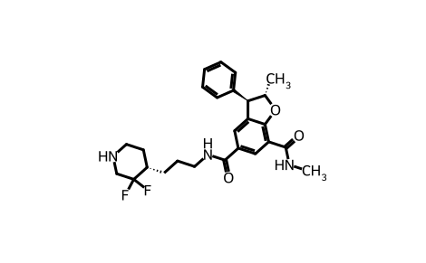 CNC(=O)c1cc(C(=O)NCCC[C@H]2CCNCC2(F)F)cc2c1O[C@@H](C)[C@@H]2c1ccccc1